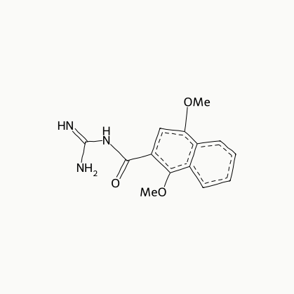 COc1cc(C(=O)NC(=N)N)c(OC)c2ccccc12